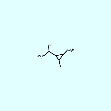 CC(C)C(C(=O)O)C1C(C)C1C(=O)O